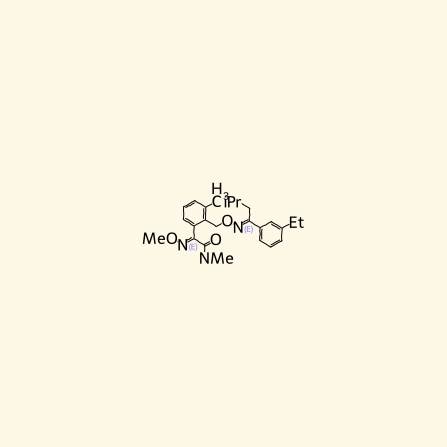 CCc1cccc(/C(CC(C)C)=N/OCc2c(C)cccc2/C(=N\OC)C(=O)NC)c1